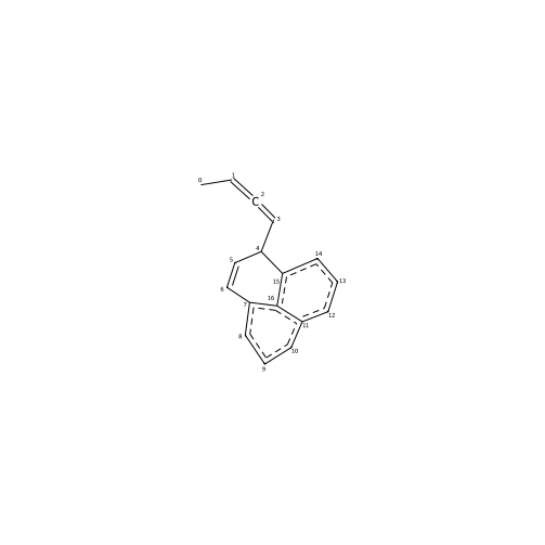 CC=C=[C]C1C=Cc2cccc3cccc1c23